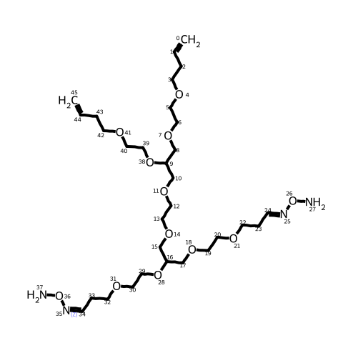 C=CCCOCCOCC(COCCOCC(COCCOCCC=NON)OCCOCC/C=N\ON)OCCOCCC=C